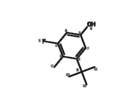 Cc1c(F)cc(O)cc1C(C)(C)C